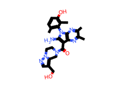 Cc1ccc(O)c(C)c1-n1c(N)c(C(=O)N2CCn3ncc(CO)c3C2)c2nc(C)c(C)nc21